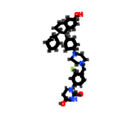 O=C1CCN(c2ccc(CN3CCN(c4ccc([C@H]5c6ccc(O)cc6CC[C@H]5c5ccccc5)cc4)CC3)c(F)c2)C(=O)N1